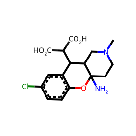 CN1CCC2(N)Oc3ccc(Cl)cc3C(C(C(=O)O)C(=O)O)C2C1